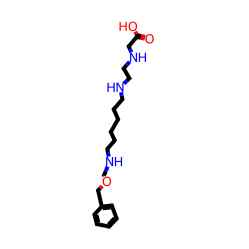 O=C(O)CNCCNCCCCCCNCOCc1ccccc1